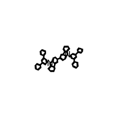 C1=c2c(n(-c3cc(-c4ccccc4)cc(-c4ccccc4)c3)c3ccccc23)=CCC1c1ccc2c(c1)c1ccccc1n2-c1cc(-c2ccccc2)cc(-c2ccccc2)c1